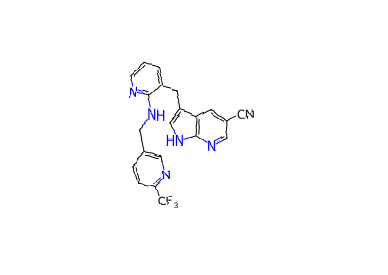 N#Cc1cnc2[nH]cc(Cc3cccnc3NCc3ccc(C(F)(F)F)nc3)c2c1